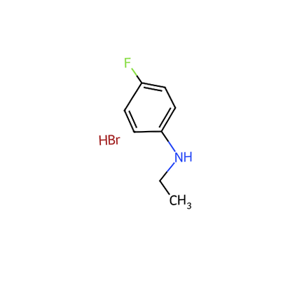 Br.CCNc1ccc(F)cc1